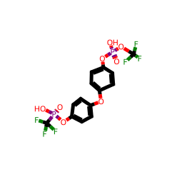 O=P(O)(Oc1ccc(Oc2ccc(OP(=O)(O)C(F)(F)F)cc2)cc1)OC(F)(F)F